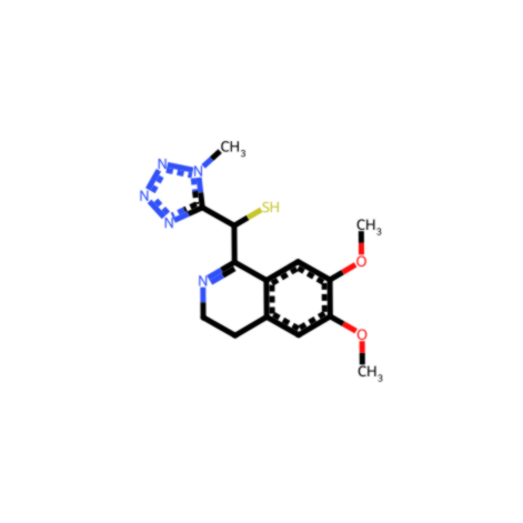 COc1cc2c(cc1OC)C(C(S)c1nnnn1C)=NCC2